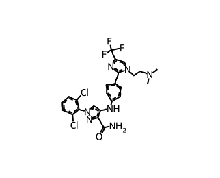 CN(C)CCn1cc(C(F)(F)F)nc1-c1ccc(Nc2cn(-c3c(Cl)cccc3Cl)nc2C(N)=O)cc1